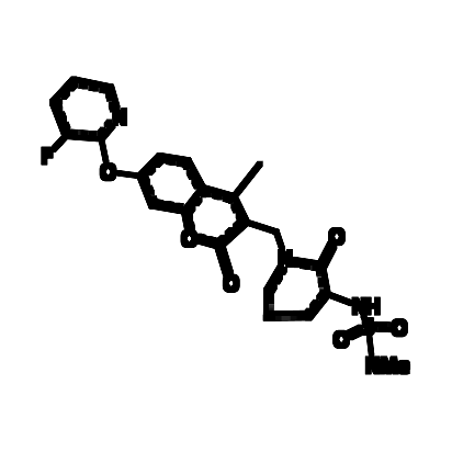 CNS(=O)(=O)Nc1cccn(Cc2c(C)c3ccc(Oc4ncccc4F)cc3oc2=O)c1=O